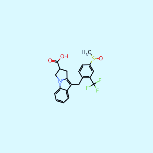 C[S+]([O-])c1ccc(Cc2c3n(c4ccccc24)CC(C(=O)O)C3)c(C(F)(F)F)c1